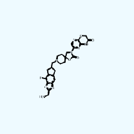 NCc1nc2cc3c(c(F)c2o1)CC(CN1CCC2(CC1)CN(c1cnc4c(n1)NC(=O)CO4)C(=O)O2)C3